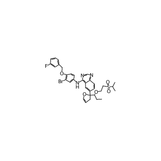 CCC(OCCS(=O)(=O)C(C)C)C1(c2ccc3ncnc(Nc4ccc(OCc5cccc(F)c5)c(Br)c4)c3c2)CC=CO1